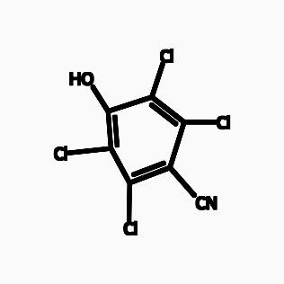 N#Cc1c(Cl)c(Cl)c(O)c(Cl)c1Cl